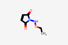 CCONN1C(=O)C=CC1=O